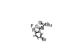 CC(C)(C)[S+]([O-])/N=C(/c1cc(Br)ccc1F)C(F)(F)F